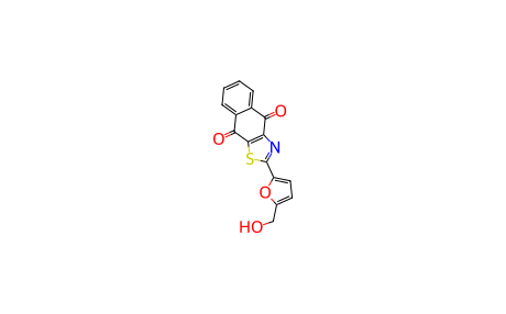 O=C1c2ccccc2C(=O)c2sc(-c3ccc(CO)o3)nc21